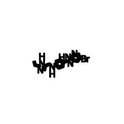 CCc1ncc(CNc2ccc(-c3nc4cc(Br)cnc4[nH]3)cc2)[nH]1